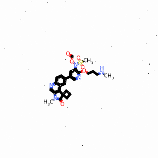 CNCCCOc1ncc(-c2ccc3ncc4c(c3c2)C2(CCC2)C(=O)N4C)cc1N(OC=O)S(C)(=O)=O